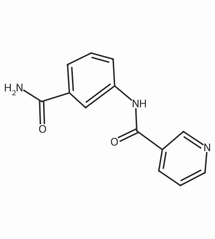 NC(=O)c1cccc(NC(=O)c2cccnc2)c1